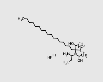 CCCCCCCCCCCCCCCCCC(C(C)O)(C(C)O)N(C(C)O)C(N)CC.F.F